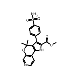 COC(=O)c1[nH]c2c(c1-c1ccc(S(N)(=O)=O)cc1)C(C)(C)Oc1cnccc1-2